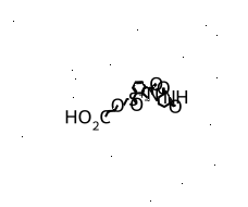 O=C(O)CCOCC[S+]([O-])c1cccc2c1CN(C1CCC(=O)NC1=O)C2=O